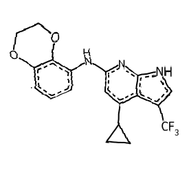 FC(F)(F)c1c[nH]c2nc(Nc3cc[c]c4c3OCCO4)cc(C3CC3)c12